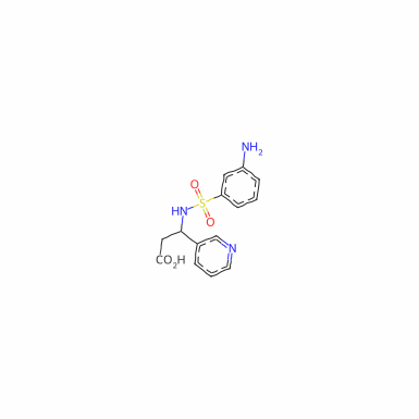 Nc1cccc(S(=O)(=O)NC(CC(=O)O)c2cccnc2)c1